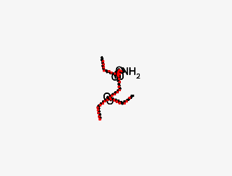 CCCCCCCC/C=C\CCCCCCCC(=O)C(CCCCCCC/C=C\CCCCCCCC(=O)N(C(=O)CCCCCCC/C=C\CCCCCCCC)C(C)(C)C(C)(CCCN)OC)C(=O)CCCCCCC/C=C\CCCCCCCC